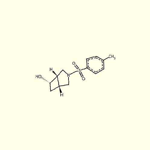 Cc1ccc(S(=O)(=O)N2C[C@@H]3C[C@H](O)[C@@H]3C2)cc1